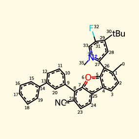 Cc1ccc2c(oc3c(-c4cccc(-c5ccccc5)c4)c(C#N)ccc32)c1-c1cc(C(C)(C)C)c(F)c[n+]1C